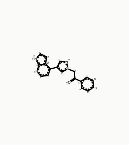 O=C(Cn1cc(-c2ccnc3[nH]ccc23)cn1)c1ccccc1